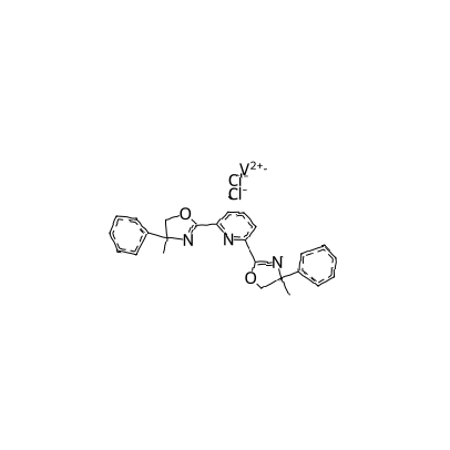 CC1(c2ccccc2)COC(c2cccc(C3=NC(C)(c4ccccc4)CO3)n2)=N1.[Cl-].[Cl-].[V+2]